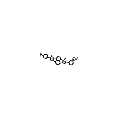 CCOc1cccc(-c2cc3c(s2)-c2ccc4c5c(ccc-3c25)-c2cc(-c3ccc(F)cc3)sc2-4)c1